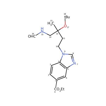 CCOC(=O)c1ccc2c(c1)ncn2CCC(C)(CNC=O)OC(C)(C)C